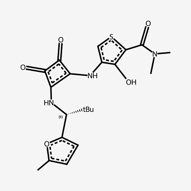 Cc1ccc([C@H](Nc2c(Nc3csc(C(=O)N(C)C)c3O)c(=O)c2=O)C(C)(C)C)o1